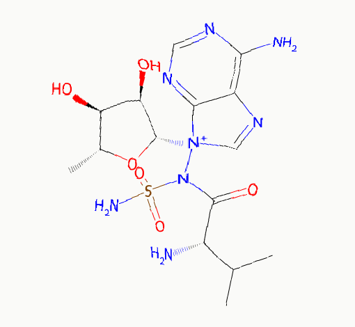 CC(C)[C@H](N)C(=O)N([N+]1([C@@H]2O[C@H](C)[C@@H](O)[C@H]2O)C=Nc2c(N)ncnc21)S(N)(=O)=O